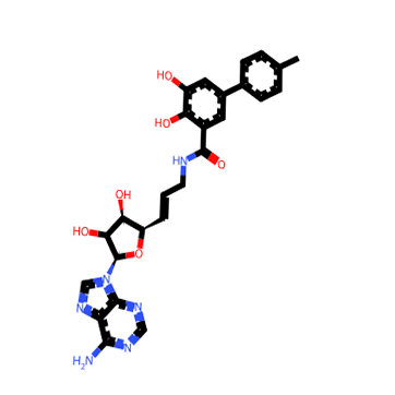 Cc1ccc(-c2cc(O)c(O)c(C(=O)NC/C=C/[C@H]3O[C@@H](n4cnc5c(N)ncnc54)C(O)[C@H]3O)c2)cc1